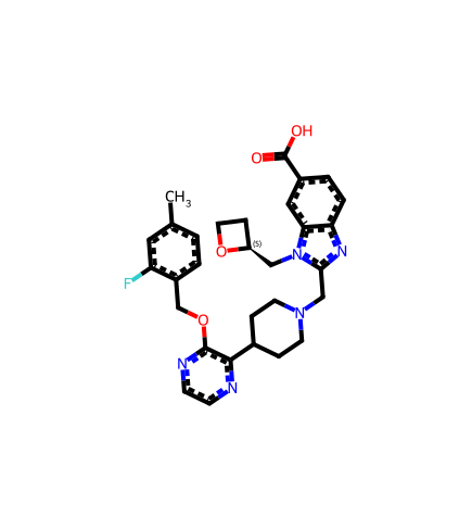 Cc1ccc(COc2nccnc2C2CCN(Cc3nc4ccc(C(=O)O)cc4n3C[C@@H]3CCO3)CC2)c(F)c1